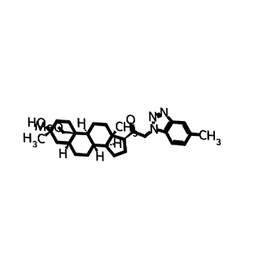 COC[C@]12CC[C@@](C)(O)C[C@H]1CC[C@H]1[C@@H]3CC[C@H](C(=O)Cn4nnc5cc(C)ccc54)[C@@]3(C)CC[C@@H]12